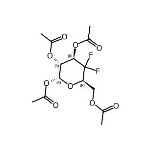 CC(=O)OC[C@H]1O[C@H](OC(C)=O)[C@H](OC(C)=O)[C@@H](OC(C)=O)C1(F)F